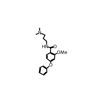 COc1cc(Oc2ccccc2)ccc1C(=O)NCCCN(C)C